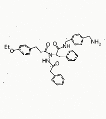 CCOc1ccc(CCC(=O)N(NC(=O)Cc2ccccc2)C(Cc2ccccc2)C(=O)NCc2ccc(CN)cc2)cc1